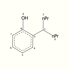 CCCC(CCC)c1ccccc1O